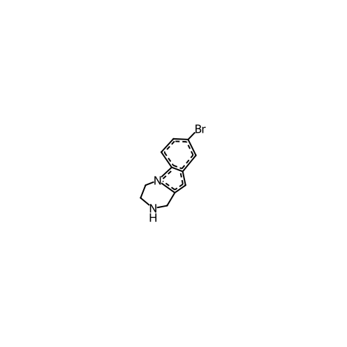 Brc1ccc2c(c1)cc1n2CCNC1